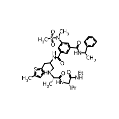 CCNC(=O)[C@@H](NC(=O)[C@H](C)NCC(Cc1ccc(C)s1)NC(=O)c1cc(C(=O)N[C@H](C)c2ccccc2)cc(N(C)S(C)(=O)=O)c1)C(C)C